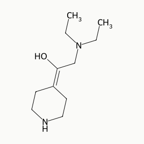 CCN(CC)CC(O)=C1CCNCC1